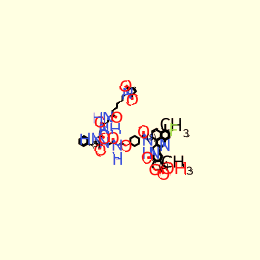 Cc1c(F)cc2nc3c(c4c2c1CC[C@@H]4NC(=O)[C@H]1CC[C@H](OCNC(=O)CNC(=O)[C@H](Cc2ccccc2)NC(=O)CNC(=O)CNC(=O)CCCCCN2C(=O)C=CC2=O)CC1)Cn1c-3cc2c(c1=O)COC(=O)[C@@]2(C)O